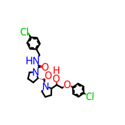 O=C([C@@H]1CCCN1C(=O)NCc1ccc(Cl)cc1)N1CCCC1C(O)COc1ccc(Cl)cc1